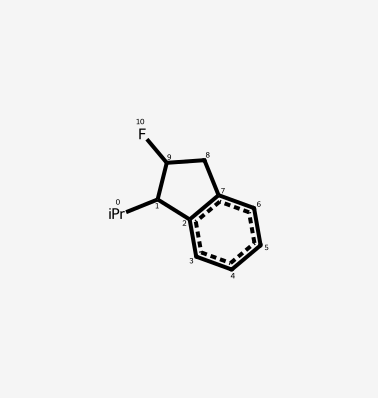 CC(C)C1c2ccccc2CC1F